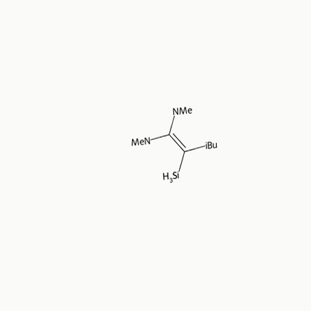 CCC(C)C([SiH3])=C(NC)NC